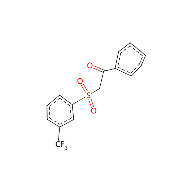 O=C(CS(=O)(=O)c1cccc(C(F)(F)F)c1)c1ccccc1